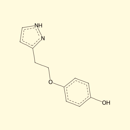 Oc1ccc(OCCc2cc[nH]n2)cc1